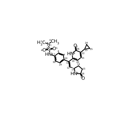 CN(C)S(=O)(=O)Nc1ccc(C(=C[C@H]2CCC(=O)N2)c2ccc(C3CC3)c(=O)[nH]2)cc1